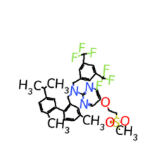 Cc1ccc(-c2cc(C(C)C)ccc2C)c(CN(Cc2cc(C(F)(F)F)cc(C(F)(F)F)c2)c2ncc(OCCS(C)(=O)=O)cn2)c1